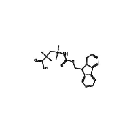 CC(C)(CC(C)(C)C(=O)O)NC(=O)OCC1c2ccccc2-c2ccccc21